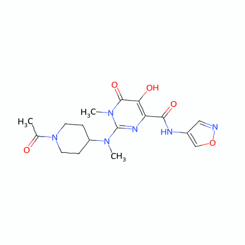 CC(=O)N1CCC(N(C)c2nc(C(=O)Nc3cnoc3)c(O)c(=O)n2C)CC1